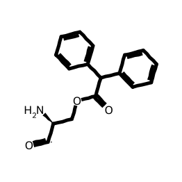 N[C@H]([C]=O)COC(=O)C(c1ccccc1)c1ccccc1